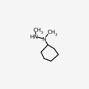 CNN(C)C1CCCCC1